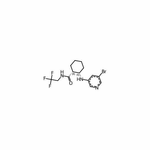 O=C(NCC(F)(F)F)[C@@H]1CCCC[C@@H]1Nc1cncc(Br)c1